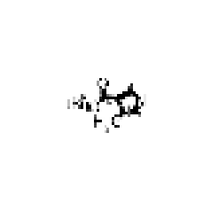 Cn1cncc1C(=O)OC(C)(C)C